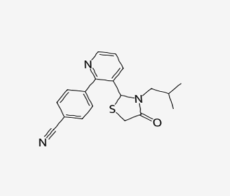 CC(C)CN1C(=O)CSC1c1cccnc1-c1ccc(C#N)cc1